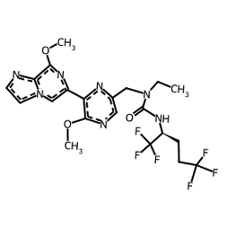 CCN(Cc1cnc(OC)c(-c2cn3ccnc3c(OC)n2)n1)C(=O)N[C@@H](CCC(F)(F)F)C(F)(F)F